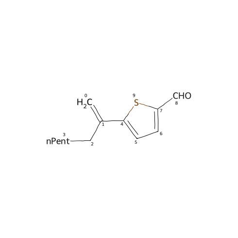 C=C(CCCCCC)c1ccc(C=O)s1